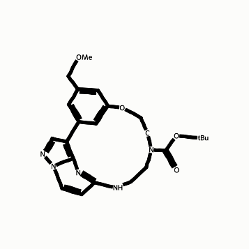 COCc1cc2cc(c1)-c1cnn3ccc(nc13)NCCN(C(=O)OC(C)(C)C)CCO2